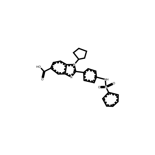 O=C(O)c1ccc2c(c1)nc(-c1ccc(NS(=O)(=O)c3ccccc3)cc1)n2C1CCCC1